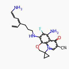 C=C/C(=C\C=C/N)CCCNc1c(F)c(N)c2c(=O)c(C#N)cn3c2c1OCC31CC1